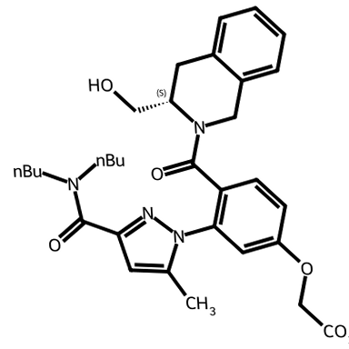 CCCCN(CCCC)C(=O)c1cc(C)n(-c2cc(OCC(=O)O)ccc2C(=O)N2Cc3ccccc3C[C@H]2CO)n1